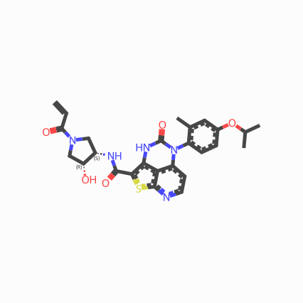 C=CC(=O)N1C[C@@H](O)[C@@H](NC(=O)c2sc3nccc4c3c2NC(=O)N4c2ccc(OC(C)C)cc2C)C1